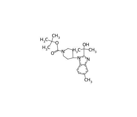 Cc1ccc2c(c1)nc(C(C)(C)O)n2C1CCN(C(=O)OC(C)(C)C)CC1